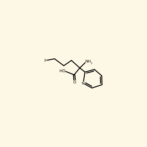 NC(CCCF)(C(=O)O)c1ccccn1